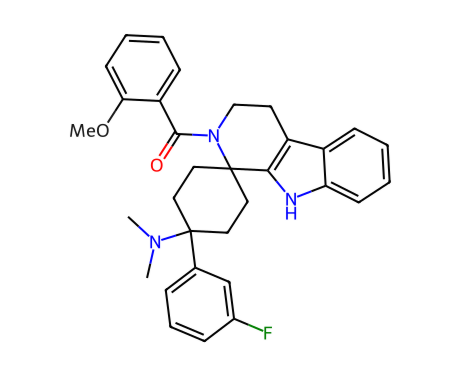 COc1ccccc1C(=O)N1CCc2c([nH]c3ccccc23)C12CCC(c1cccc(F)c1)(N(C)C)CC2